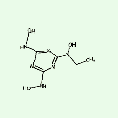 CCN(O)c1nc(NO)nc(NO)n1